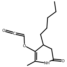 CCCCCC1CC(=O)NC(C)=C1OC=C=O